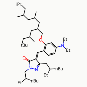 CCCCC(CC)CC1=NN(CC(CC)CCCC)C(=O)C1=Cc1ccc(N(CC)CC)cc1OCC(CC(C)CC(C)CC(C)C)CC(C)CC(C)(C)C